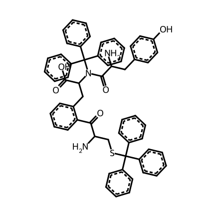 NC(CSC(c1ccccc1)(c1ccccc1)c1ccccc1)C(=O)c1ccccc1CC(C(=O)O)N(C(=O)C(N)Cc1ccc(O)cc1)C(c1ccccc1)(c1ccccc1)c1ccccc1